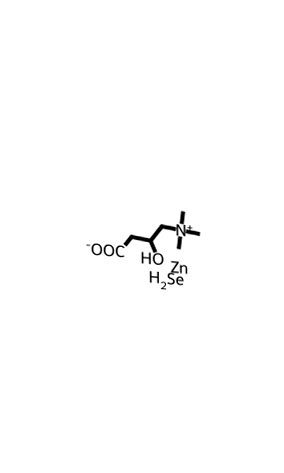 C[N+](C)(C)CC(O)CC(=O)[O-].[SeH2].[Zn]